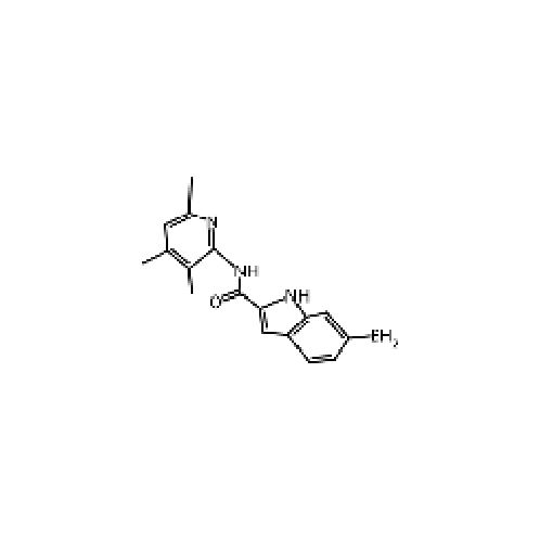 Bc1ccc2cc(C(=O)Nc3nc(C)cc(C)c3C)[nH]c2c1